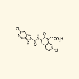 O=C(O)CN1C(=O)C(NC(=O)c2cc3cc(Cl)ncc3[nH]2)Cc2ccc(Cl)cc21